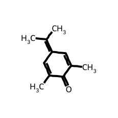 CC1=CC(=C(C)C)C=C(C)C1=O